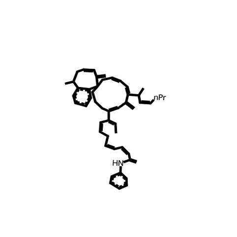 C=C(/C=C\C=C/C\C=C/C(=C\C)C1=C/C(=C)/C(C(C)/C=C\CCC)=C\C=C/CC2(CCC\1)C(=C)/C=C\CC(C)c1ccccc12)Nc1ccccc1